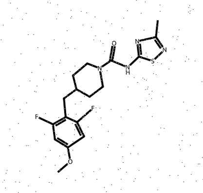 COc1cc(F)c(CC2CCN(C(=O)Nc3nc(C)ns3)CC2)c(F)c1